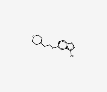 CC(=O)c1cnn2ccc(OCCN3CCOCC3)cc12